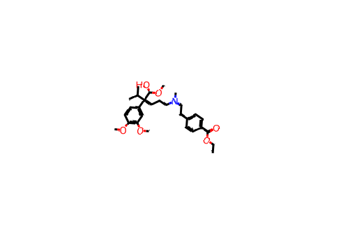 CCOC(=O)c1ccc(CCN(C)CCCC(c2ccc(OC)c(OC)c2)(C(C)C)[C@@H](O)OC)cc1